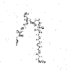 CC#CCNC(=O)COCCOC(C)(COc1cccc(C(=O)NCCOCCOCCOCCCNC)c1)SSC(C)(C)C